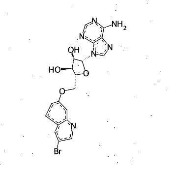 Nc1ncnc2c1ncn2[C@@H]1O[C@H](COc2ccc3cc(Br)cnc3c2)[C@@H](O)[C@H]1O